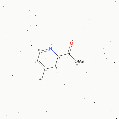 COC(=O)C1CC(C)=CC=N1